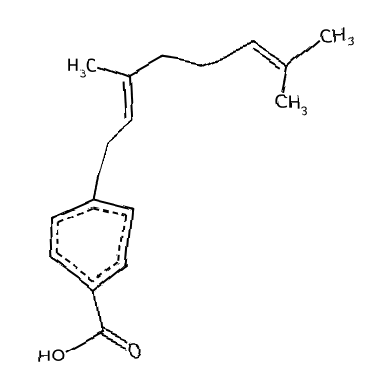 CC(C)=CCC/C(C)=C/Cc1ccc(C(=O)O)cc1